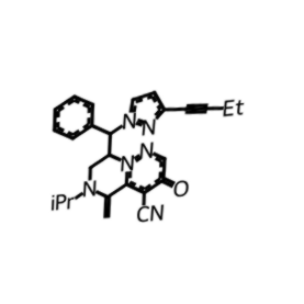 C=C1c2c(C#N)c(=O)cnn2C(C(c2ccccc2)n2ccc(C#CCC)n2)CN1C(C)C